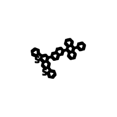 c1ccc(-c2c3ccccc3c(-c3ccc4cc(-c5cc6c7ccccc7sc6c6cc7sc8ccccc8c7cc56)ccc4c3)c3ccccc23)cc1